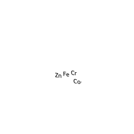 [Co].[Cr].[Fe].[Zn]